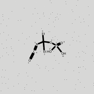 CCC(CC)(N=C=O)OP(=O)(O)O